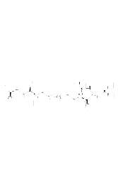 CC(C)(C)SC1CC(=O)N(CCSSCCNC(=O)CCC(=O)O)C1=O